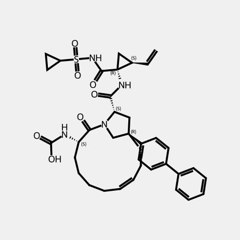 C=C[C@@H]1C[C@]1(NC(=O)[C@@H]1C[C@@]2(c3ccc(-c4ccccc4)cc3)CN1C(=O)[C@@H](NC(=O)O)CCCCC=CCS2)C(=O)NS(=O)(=O)C1CC1